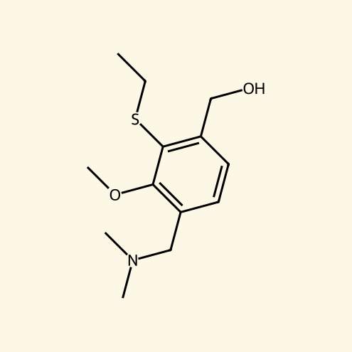 CCSc1c(CO)ccc(CN(C)C)c1OC